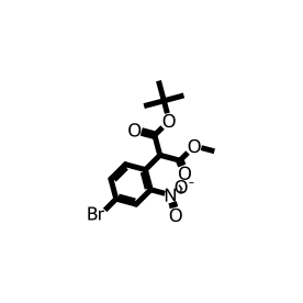 COC(=O)C(C(=O)OC(C)(C)C)c1ccc(Br)cc1[N+](=O)[O-]